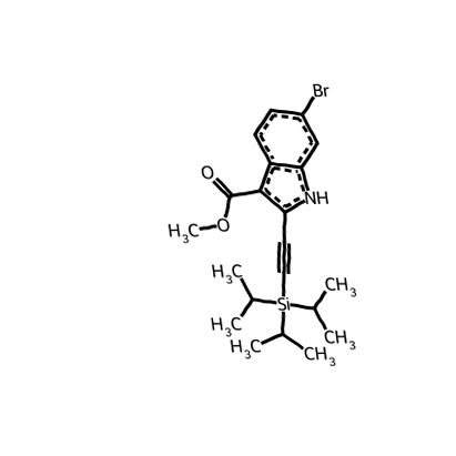 COC(=O)c1c(C#C[Si](C(C)C)(C(C)C)C(C)C)[nH]c2cc(Br)ccc12